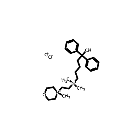 C[N+](C)(CCCCC(C#N)(c1ccccc1)c1ccccc1)CC[N+]1(C)CCOCC1.[Cl-].[Cl-]